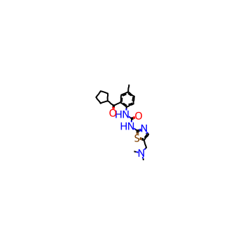 Cc1ccc(NC(=O)Nc2ncc(CN(C)C)s2)c(C(=O)C2CCCC2)c1